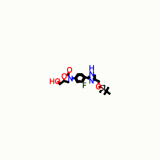 CC(C)(C)[Si](C)(C)OCc1c[nH]c(-c2ccc(N3CC(CO)OC3=O)cc2F)n1